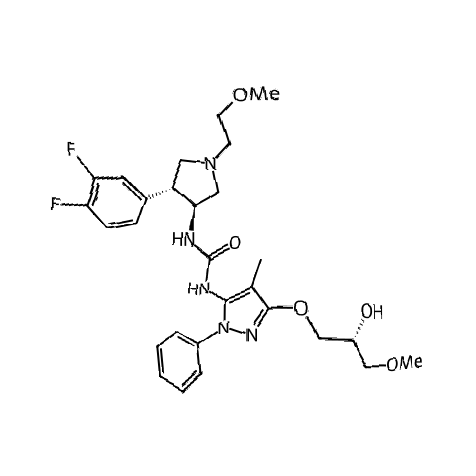 COCCN1C[C@@H](NC(=O)Nc2c(C)c(OC[C@H](O)COC)nn2-c2ccccc2)[C@H](c2ccc(F)c(F)c2)C1